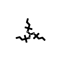 CCCC(C)(C)OP(OC(C)(C)CCC)OC(C)(C)CCC